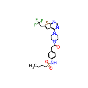 CCCCS(=O)(=O)Nc1ccc(CC(=O)N2CCN(c3ncnc4sc(CC(F)(F)F)cc34)CC2)cc1